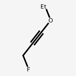 [CH2]COC#CCF